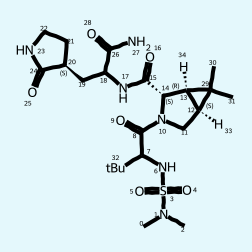 CN(C)S(=O)(=O)NC(C(=O)N1C[C@H]2[C@@H]([C@H]1C(=O)NC(C[C@@H]1CCNC1=O)C(N)=O)C2(C)C)C(C)(C)C